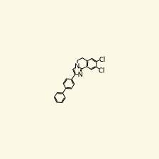 Clc1cc2c(cc1Cl)-c1nc(-c3ccc(-c4ccccc4)cc3)cn1CC2